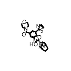 O=C(c1cc(-c2nccs2)c2oc(N3CC4CCC(C3)N4C(=O)O)nc2c1)N1CCOCC1